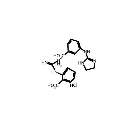 Cl.N=C(N)Nc1ccccc1C(=O)O.O=C(O)c1cccc(NC2=NCCN2)c1